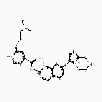 CN(C)CCNc1cc(C(=O)Nc2ncc3ccc(-c4cnc5n4CCNC5)cc3n2)ccn1